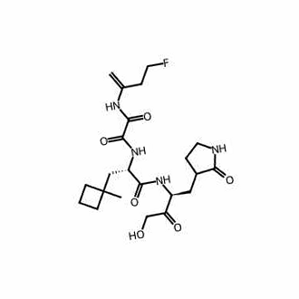 C=C(CCF)NC(=O)C(=O)N[C@@H](CC1(C)CCC1)C(=O)N[C@@H](CC1CCNC1=O)C(=O)CO